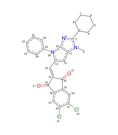 Cn1c(C2CCCCC2)nc2c1cc(C=C1C(=O)c3cc(Cl)c(Cl)cc3C1=O)n2-c1ccccc1